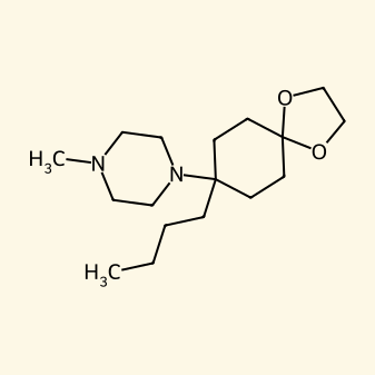 CCCCC1(N2CCN(C)CC2)CCC2(CC1)OCCO2